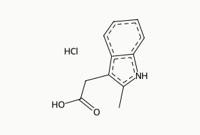 Cc1[nH]c2ccccc2c1CC(=O)O.Cl